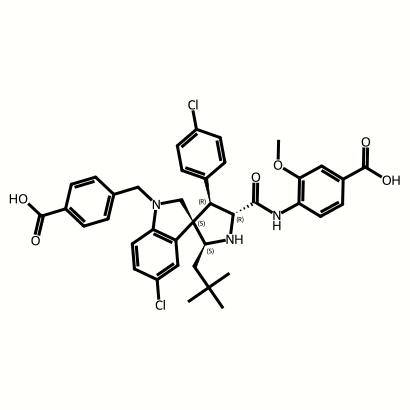 COc1cc(C(=O)O)ccc1NC(=O)[C@@H]1N[C@@H](CC(C)(C)C)[C@@]2(CN(Cc3ccc(C(=O)O)cc3)c3ccc(Cl)cc32)[C@H]1c1ccc(Cl)cc1